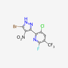 O=[N+]([O-])c1c(-c2nc(F)c(C(F)(F)F)cc2Cl)n[nH]c1Br